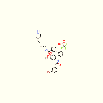 CCOC1(O)C=CC(N(Cc2cccc(-c3cccc(C(=O)N4CCC(CCCC5CCNCC5)CC4)c3)c2)C(=O)Cc2cccc(Br)c2)=CC1.O=C(O)C(F)(F)F